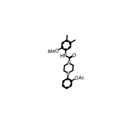 COc1cc(C)c(C)cc1NC(=O)N1CCN(c2ccccc2OC(C)=O)CC1